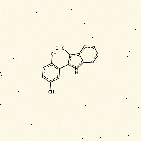 Cc1ccc(C)c(-c2[nH]c3ccccc3c2C=O)c1